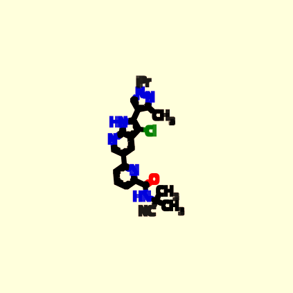 Cc1nn(C(C)C)cc1-c1[nH]c2ncc(-c3cccc(C(=O)NC(C)(C)C#N)n3)cc2c1Cl